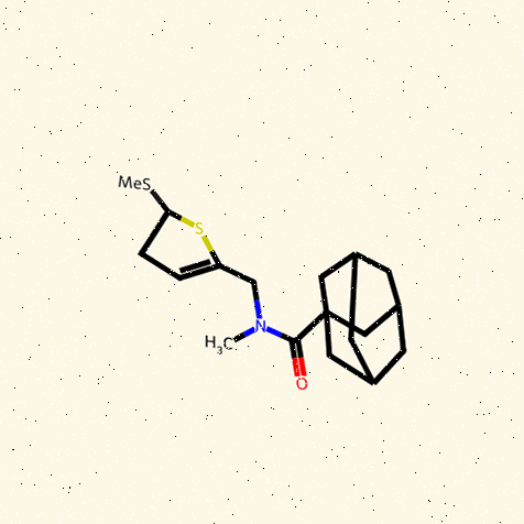 CSC1CC=C(CN(C)C(=O)C23CC4CC(CC(C4)C2)C3)S1